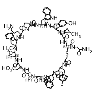 CCCC[C@H]1C(=O)N(CCC)CC(=O)N[C@@H](CC(=O)O)C(=O)N[C@@H](C(C)C)C(=O)N(C)[C@@H](Cc2ccccc2)C(=O)N[C@@H](CCCN)C(=O)N2CCC[C@@H]2C(=O)N[C@@H](Cc2c[nH]c3ccccc23)C(=O)N[C@@H](Cc2ccc(O)cc2)C(=O)N[C@@H](C2CC2C)C(=O)N[C@H](C(=O)NCC(N)=O)CSCC(=O)N[C@@H](Cc2ccc(F)cc2)C(=O)N(C)C(Cc2ccccc2)C(=O)N1C